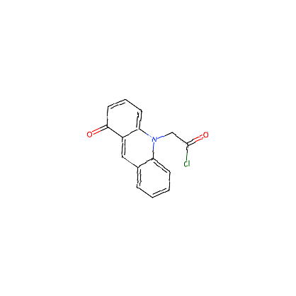 O=C(Cl)Cn1c2cccc(=O)c-2cc2ccccc21